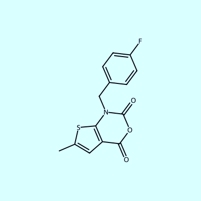 Cc1cc2c(=O)oc(=O)n(Cc3ccc(F)cc3)c2s1